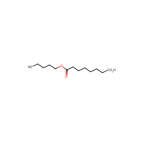 N#CCCCCOC(=O)CCCCCCC(=O)O